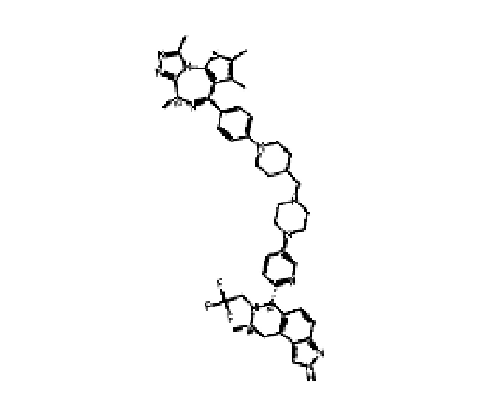 Cc1sc2c(c1C)C(c1ccc(N3CCC(CN4CCN(c5ccc([C@@H]6c7ccc8n[nH]cc8c7C[C@@H](C)N6CC(F)(F)F)nc5)CC4)CC3)cc1)=N[C@@H](C)c1nnc(C)n1-2